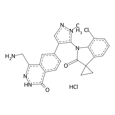 Cl.Cn1ncc(-c2ccc3c(=O)[nH]nc(CN)c3c2)c1N1C(=O)C2(CC2)c2cccc(Cl)c21